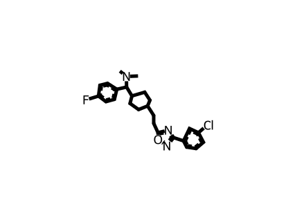 CN(C)C(c1ccc(F)cc1)C1CCC(CCc2nc(-c3cccc(Cl)c3)no2)CC1